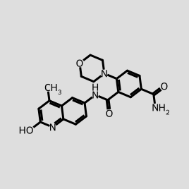 Cc1cc(O)nc2ccc(NC(=O)c3cc(C(N)=O)ccc3N3CCOCC3)cc12